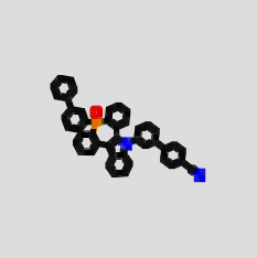 N#Cc1ccc(-c2cccc(-n3c4c(c5ccccc53)-c3ccccc3P(=O)(c3cccc(-c5ccccc5)c3)c3ccccc3-4)c2)cc1